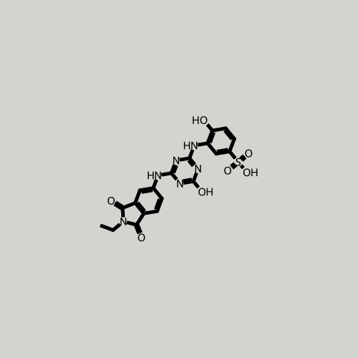 CCN1C(=O)c2ccc(Nc3nc(O)nc(Nc4cc(S(=O)(=O)O)ccc4O)n3)cc2C1=O